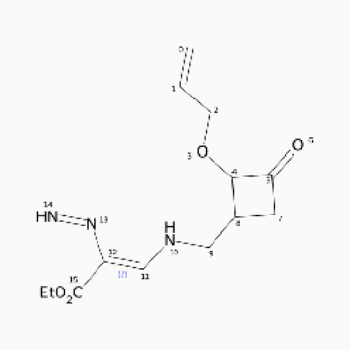 C=CCOC1C(=O)CC1CN/C=C(\N=N)C(=O)OCC